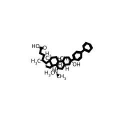 C[C@H](CCC(=O)O)[C@H]1CC[C@H]2[C@@H]3[C@H](N(C)C)C[C@@H]4C[C@](O)(c5ccc(-c6ccccc6)cc5)CC[C@]4(C)[C@H]3CC[C@]12C